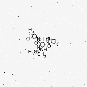 Cc1ccc(NC(=O)c2cc(NC(=O)c3cc(Cl)ccc3Cl)cc3[nH]c(N(C)C)nc23)cc1Cl